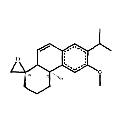 COc1cc2c(cc1C(C)C)C=CC1[C@]3(CCC[C@]21C)CO3